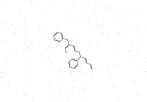 [CH]=CC=CC(CC=CC([CH]c1ccccc1)=CC)c1ccccc1